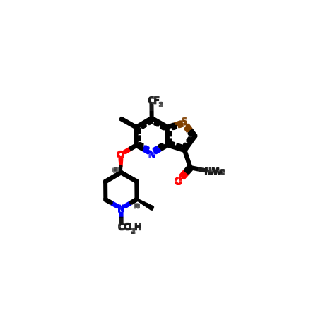 CNC(=O)c1csc2c(C(F)(F)F)c(C)c(O[C@@H]3CCN(C(=O)O)[C@H](C)C3)nc12